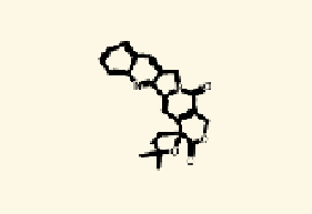 CCC1(OC(C)(C)C)C(=O)OCc2c1cc1n(c2=O)Cc2cc3ccccc3nc2-1